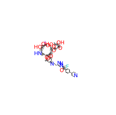 CO[C@H](c1ccc(C2=CCN(C)CC2)cc1)[C@@H](CF)n1cc(CCN(C)[C@@H]2C[C@H](O[C@@H]3[C@@H](C)[C@H](O[C@H]4C[C@@](C)(OC)[C@@H](O)[C@H](C)O4)[C@@H](C)C(=O)O[C@H](I)[C@@](C)(O)[C@H](O)[C@@H](C)C(=N)[C@H](C)C[C@@]3(C)OC)O[C@H](C)C2)nn1